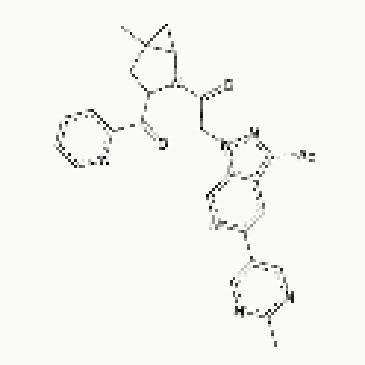 CC(=O)c1nn(CC(=O)N2C(C(=O)c3ccccn3)CC3(C)CC23)c2cnc(-c3cnc(C)nc3)cc12